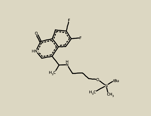 CC(NCCCO[Si](C)(C)C(C)(C)C)c1c[nH]c(=O)c2cc(F)c(F)cc12